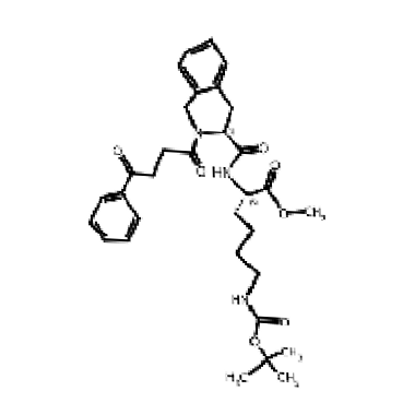 COC(=O)[C@H](CCCCNC(=O)OC(C)(C)C)NC(=O)[C@@H]1Cc2ccccc2CN1C(=O)CCC(=O)c1ccccc1